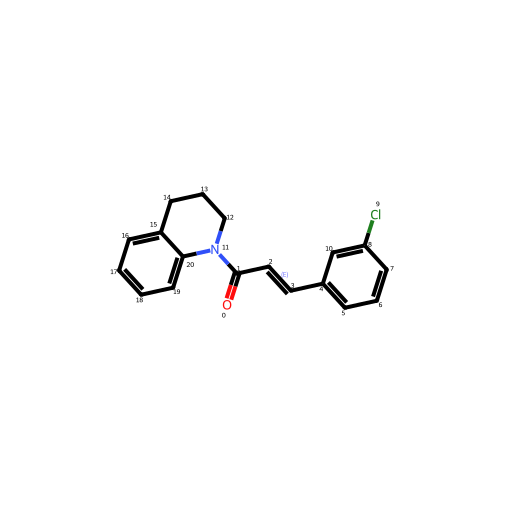 O=C(/C=C/c1cccc(Cl)c1)N1CCCc2ccccc21